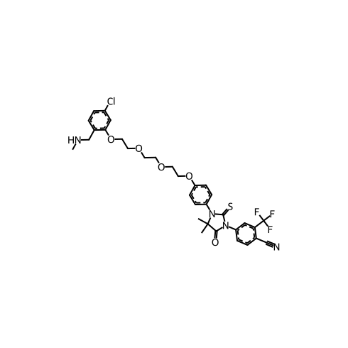 CNCc1ccc(Cl)cc1OCCOCCOCCOc1ccc(N2C(=S)N(c3ccc(C#N)c(C(F)(F)F)c3)C(=O)C2(C)C)cc1